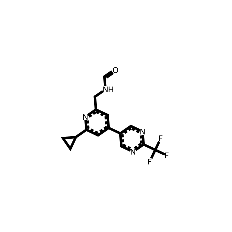 O=CNCc1cc(-c2cnc(C(F)(F)F)nc2)cc(C2CC2)n1